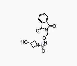 O=C1c2ccccc2C(=O)N1CO/N=[N+](/[O-])N1CC(O)C1